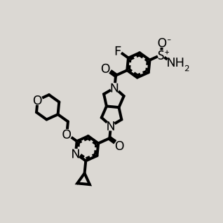 N[S+]([O-])c1ccc(C(=O)N2CC3CN(C(=O)c4cc(OCC5CCOCC5)nc(C5CC5)c4)CC3C2)c(F)c1